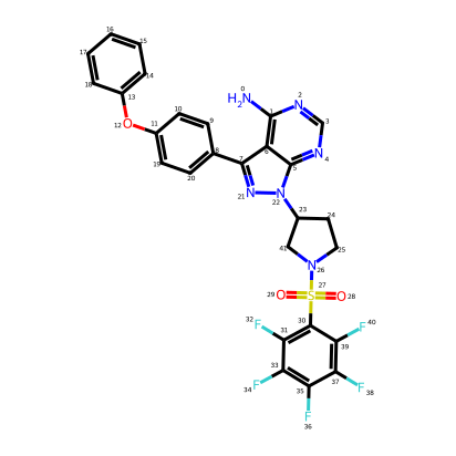 Nc1ncnc2c1c(-c1ccc(Oc3ccccc3)cc1)nn2C1CCN(S(=O)(=O)c2c(F)c(F)c(F)c(F)c2F)C1